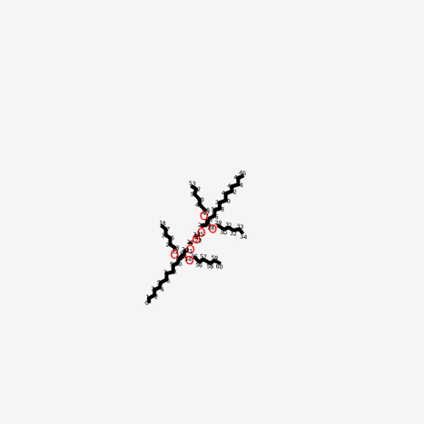 CCCCCCCCCCCC(OCCCCCC)=C(COCOCOCC(OCCCCCC)=C(CCCCCCCCCCC)OCCCCCC)OCCCCCC